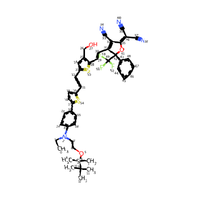 CCN(CCO[Si](C)(C)C(C)(C)C)c1ccc(-c2ccc(/C=C/c3cc(CO)c(/C=C/C4=C(C#N)C(=C(C#N)C#N)OC4(c4ccccc4)C(F)(F)F)s3)s2)cc1